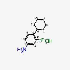 Cl.Nc1ccc(C2CCCCC2)c(F)c1